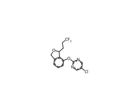 FC(F)(F)CCC1OCc2cccc(Oc3ncc(Cl)cn3)c21